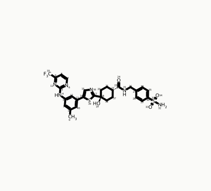 Cc1cc(Nc2nccc(C(F)(F)F)n2)cc(-c2cnc([C@]3(O)CC[C@H](C(=O)NCc4ccc(S(N)(=O)=O)cc4)CC3)s2)c1